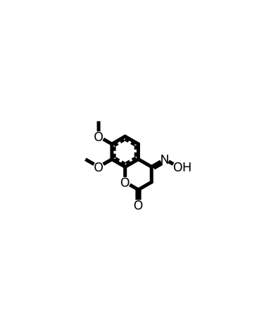 COc1ccc2c(c1OC)OC(=O)CC2=NO